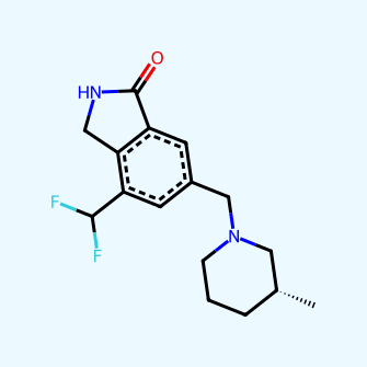 C[C@@H]1CCCN(Cc2cc3c(c(C(F)F)c2)CNC3=O)C1